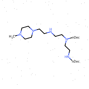 CCCCCCCCCCNCCN(CCCCCCCCCC)CCNCCN1CCN(C)CC1